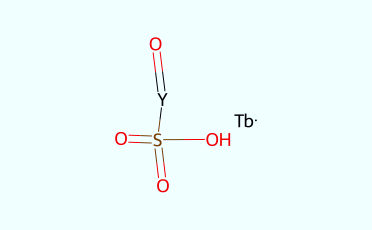 [O]=[Y][S](=O)(=O)O.[Tb]